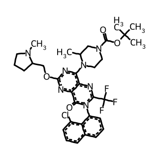 CC1CN(C(=O)OC(C)(C)C)CCN1c1nc(OCC2CCCN2C)nc2c(=O)n(-c3cccc4cccc(Cl)c34)c(C(F)(F)F)nc12